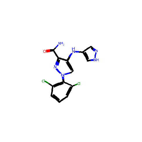 NC(=O)c1nn(-c2c(Cl)cccc2Cl)cc1Nc1cn[nH]c1